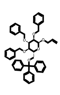 C=CCO[C@H]1O[C@H](COC(c2ccccc2)(c2ccccc2)c2ccccc2)[C@@H](OCc2ccccc2)[C@H](OCc2ccccc2)[C@H]1OCc1ccccc1